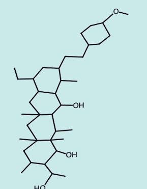 CCC1CC(CCC2CCC(OC)CC2)C(C)C2C(O)C3C(C)C4(C)C(O)C(C(C)O)C(C)CC4(C)CC3(C)CC12